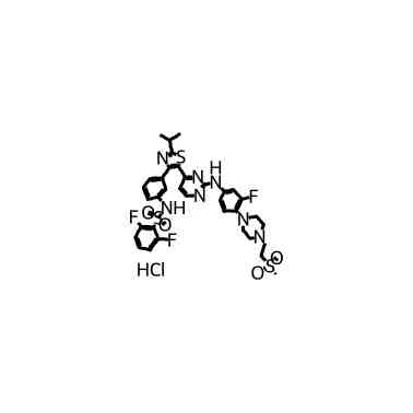 CC(C)c1nc(-c2cccc(NS(=O)(=O)c3c(F)cccc3F)c2)c(-c2ccnc(Nc3ccc(N4CCN(CCS(C)(=O)=O)CC4)c(F)c3)n2)s1.Cl